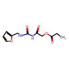 CCC(=O)OCC(=O)NC(=O)NCc1ccco1